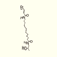 CCC=CC(=O)NCCCCCCCCCCC(=O)NCC(C)O